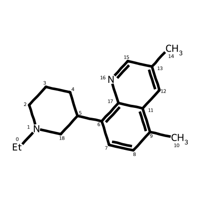 CCN1CCCC(c2ccc(C)c3cc(C)cnc23)C1